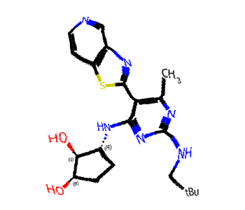 Cc1nc(NCC(C)(C)C)nc(N[C@@H]2CC[C@@H](O)[C@H]2O)c1-c1nc2cnccc2s1